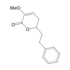 COC1=CCC(CCc2ccccc2)OC1=O